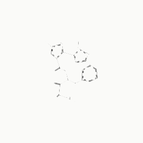 Cn1cc(C(=O)NC(Cc2ccccc2)C(=O)C(N)=O)c(-c2ccnn2C)n1